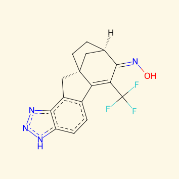 ON=C1C(C(F)(F)F)=C2c3ccc4[nH]nnc4c3C[C@@]23CC[C@@H]1C3